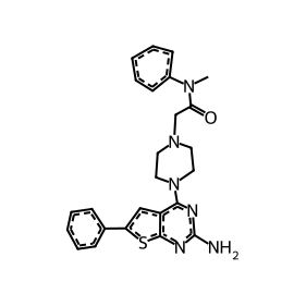 CN(C(=O)CN1CCN(c2nc(N)nc3sc(-c4ccccc4)cc23)CC1)c1ccccc1